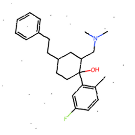 Cc1ccc(F)cc1C1(O)CCC(CCc2ccccc2)CC1CN(C)C